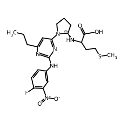 CCCc1cc(N2CCC[C@H]2NC(CCSC)C(=O)O)nc(Nc2ccc(F)c([N+](=O)[O-])c2)n1